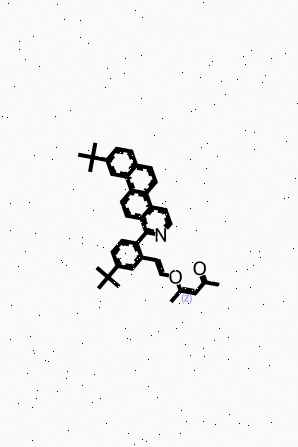 CC(=O)/C=C(/C)OC=Cc1cc(C(C)(C)C)ccc1-c1nccc2c1ccc1c3cc(C(C)(C)C)ccc3ccc21